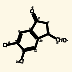 O=[C]C1CC(=O)c2cc(Cl)c(Cl)cc21